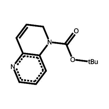 CC(C)(C)OC(=O)N1CC=Cc2ncccc21